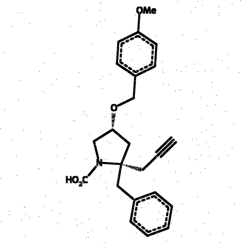 C#CC[C@@]1(Cc2ccccc2)C[C@@H](OCc2ccc(OC)cc2)CN1C(=O)O